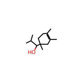 CC1=C(C)CC(C)(C(O)C(C)C)CC1